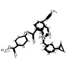 CC#Cc1ccc(C(=O)NC2CCC(C(=O)OC)CC2)c2c1cnn2Cc1cccc(C2CC2)c1